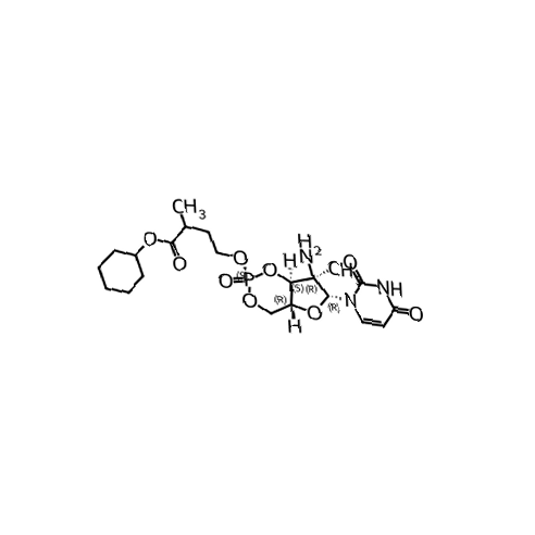 CC(CCO[P@@]1(=O)OC[C@H]2O[C@@H](n3ccc(=O)[nH]c3=O)[C@](C)(N)[C@@H]2O1)C(=O)OC1CCCCC1